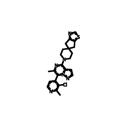 Cc1nccc(-c2c(C)nc(N3CCC4(CC3)Cc3ncsc3C4)c3ccnn23)c1Cl